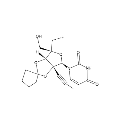 CC#C[C@@]12OC3(CCCC3)O[C@@H]1[C@](CO)(CF)O[C@H]2n1ccc(=O)[nH]c1=O